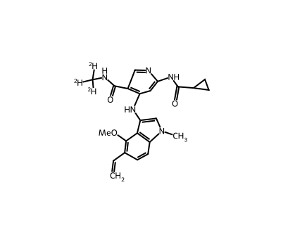 [2H]C([2H])([2H])NC(=O)c1cnc(NC(=O)C2CC2)cc1Nc1cn(C)c2ccc(C=C)c(OC)c12